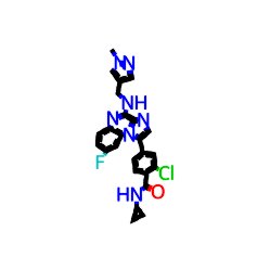 Cn1cc(CNc2nc3ccc(F)cc3n3c(-c4ccc(C(=O)NC5CC5)c(Cl)c4)cnc23)cn1